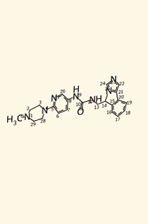 CN1CCN(c2ccc(NC(=O)NCC3c4ccccc4-c4cncn43)cn2)CC1